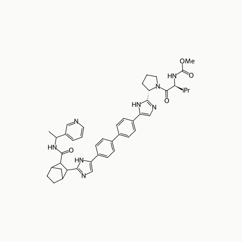 COC(=O)N[C@H](C(=O)N1CCC[C@H]1c1ncc(-c2ccc(-c3ccc(-c4cnc(C5C6CCC(C6)C5C(=O)NC(C)c5cccnc5)[nH]4)cc3)cc2)[nH]1)C(C)C